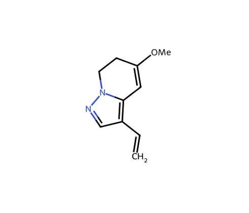 C=Cc1cnn2c1C=C(OC)CC2